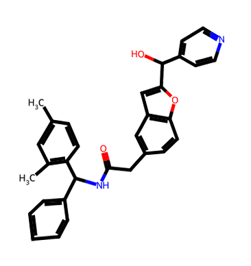 Cc1ccc(C(NC(=O)Cc2ccc3oc(C(O)c4ccncc4)cc3c2)c2ccccc2)c(C)c1